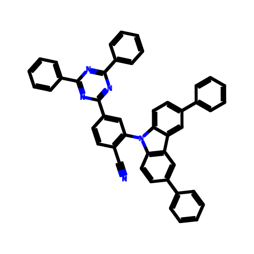 N#Cc1ccc(-c2nc(-c3ccccc3)nc(-c3ccccc3)n2)cc1-n1c2ccc(-c3ccccc3)cc2c2cc(-c3ccccc3)ccc21